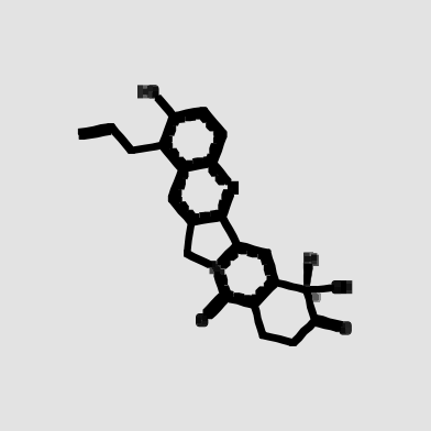 C=CCc1c(O)ccc2nc3c(cc12)Cn1c-3cc2c(c1=O)CCC(=O)[C@]2(O)CC